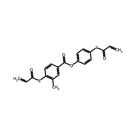 C=CC(=O)Sc1ccc(OC(=O)c2ccc(SC(=O)C=C)c(C)c2)cc1